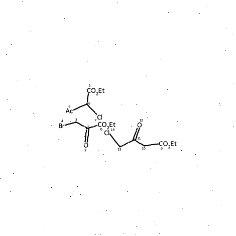 CCOC(=O)C(=O)CBr.CCOC(=O)C(Cl)C(C)=O.CCOC(=O)CC(=O)CCl